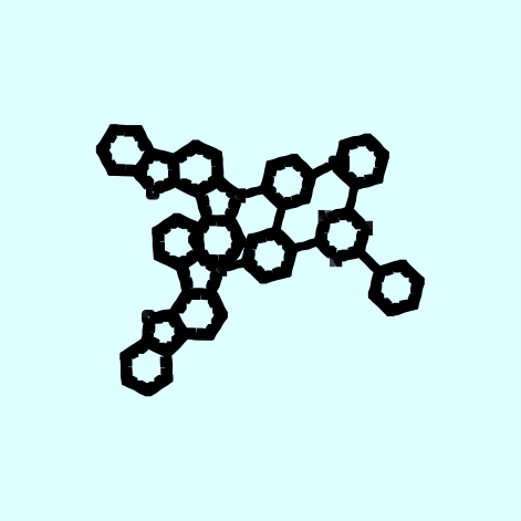 N#Cc1ccc(-n2c3ccccc3c3c4oc5ccccc5c4ccc32)c(-c2cc(-n3c4ccccc4c4c5oc6ccccc6c5ccc43)ccc2-c2nc(-c3ccccc3)nc(-c3ccccc3)n2)c1